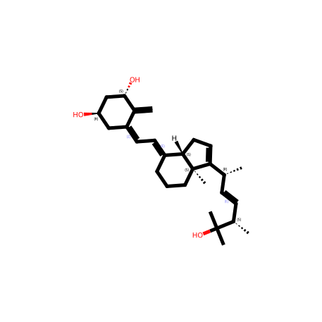 C=C1/C(=C\C=C2/CCC[C@]3(C)C([C@H](C)/C=C/[C@H](C)C(C)(C)O)=CC[C@@H]23)C[C@@H](O)C[C@@H]1O